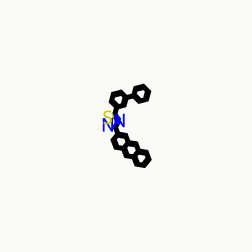 c1ccc(-c2cccc(-c3nc(-c4ccc5cc6ccccc6cc5c4)ns3)c2)cc1